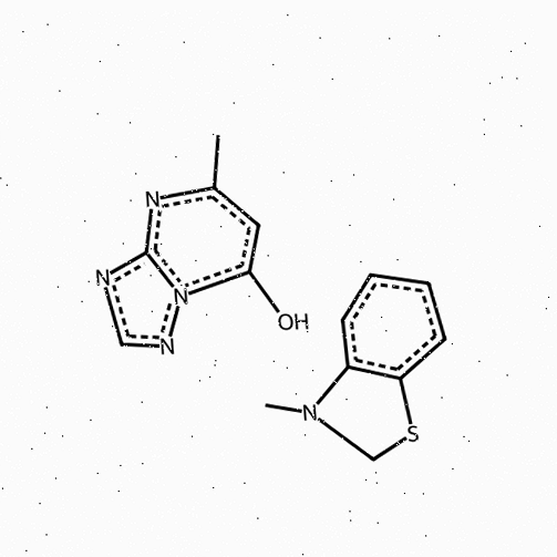 CN1CSc2ccccc21.Cc1cc(O)n2ncnc2n1